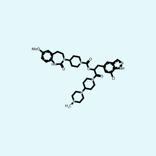 COc1ccc2c(c1)CCN(C1CCN(C(=O)OC(Cc3cc(Cl)c4[nH]ncc4c3)C(=O)N3CCC(N4CCN(C)CC4)CC3)CC1)C(=O)N2